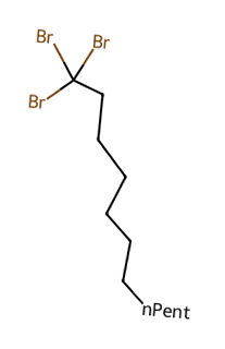 [CH2]CCCCCCCCCCC(Br)(Br)Br